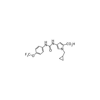 O=C(Nc1ccc(OC(F)(F)F)cc1)Nc1cc(C(=O)O)n(CC2CC2)c1